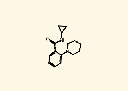 O=C(NC1CC1)c1ccccc1N1CCCCC1